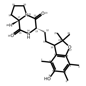 Cc1c(C)c2c(c(C)c1O)C(CC[C@@H]1NC(=O)[C@@H]3CCCN3C1=O)C(C)(C)O2